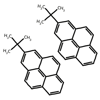 CC(C)(C)c1cc2ccc3cccc4ccc(c1)c2c34.CC(C)(C)c1cc2ccc3cccc4ccc(c1)c2c34